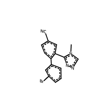 Cn1cnnc1-c1cc(C#N)ccc1-c1cccc(Br)c1